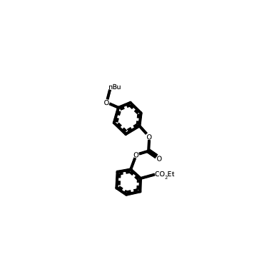 CCCCOc1ccc(OC(=O)Oc2ccccc2C(=O)OCC)cc1